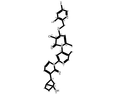 Cc1cnc(-n2cccc(C3CC4(O)CCC34)c2=O)cc1-n1c(C)cc(OCc2ncc(F)cc2F)c(Cl)c1=O